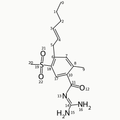 CCCC=CCc1cc(C)c(C(=O)N=C(N)N)cc1S(C)(=O)=O